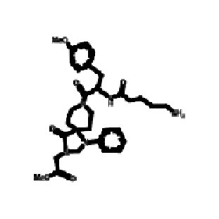 COC(=O)CN1CN(c2ccccc2)C2(CCN(C(=O)C(Cc3ccc(OC)cc3)NC(=O)CCCCN)CC2)C1=O